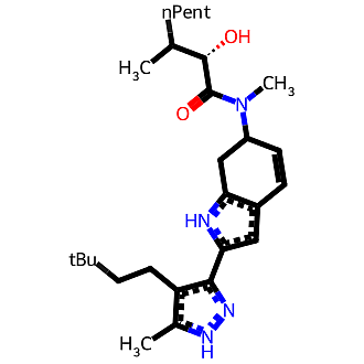 CCCCCC(C)[C@H](O)C(=O)N(C)C1C=Cc2cc(-c3n[nH]c(C)c3CCC(C)(C)C)[nH]c2C1